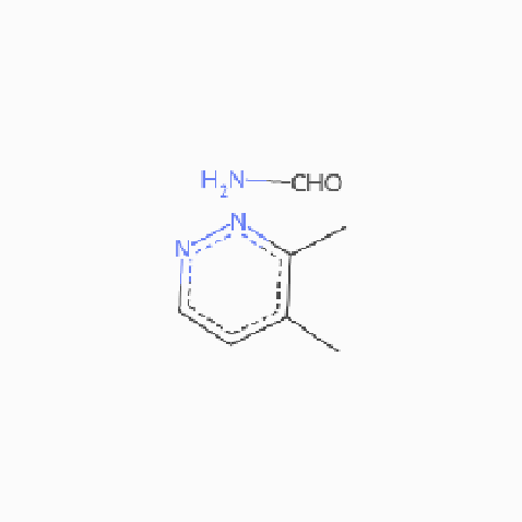 Cc1ccnnc1C.NC=O